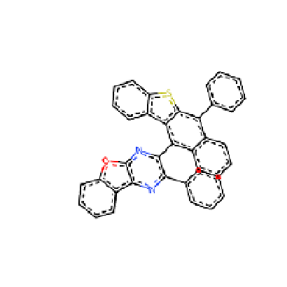 c1ccc(-c2nc3c(nc2-c2c4ccccc4c(-c4ccccc4)c4sc5ccccc5c24)oc2ccccc23)cc1